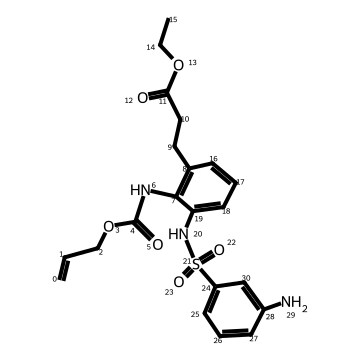 C=CCOC(=O)Nc1c(CCC(=O)OCC)cccc1NS(=O)(=O)c1cccc(N)c1